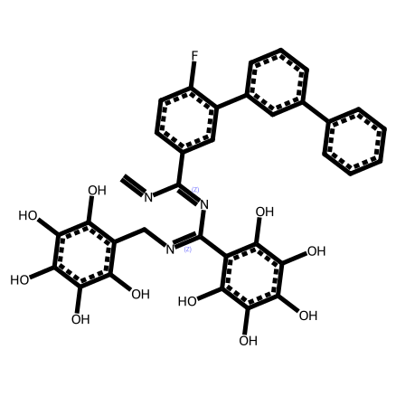 C=N/C(=N\C(=N/Cc1c(O)c(O)c(O)c(O)c1O)c1c(O)c(O)c(O)c(O)c1O)c1ccc(F)c(-c2cccc(-c3ccccc3)c2)c1